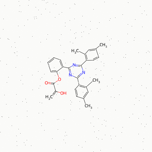 C=C(O)C(=O)Oc1ccccc1-c1nc(-c2ccc(C)cc2C)nc(-c2ccc(C)cc2C)n1